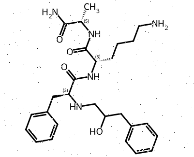 C[C@H](NC(=O)[C@H](CCCCN)NC(=O)[C@H](Cc1ccccc1)NCC(O)Cc1ccccc1)C(N)=O